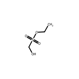 CCOS(=O)(=O)CO